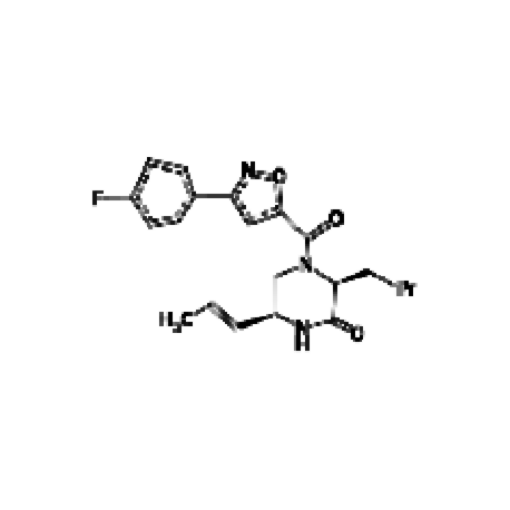 CC=C[C@H]1CN(C(=O)c2cc(-c3ccc(F)cc3)no2)[C@@H](CC(C)C)C(=O)N1